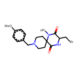 CCCN1C(=O)C(CC(C)C)NC(=O)C12CCN(Cc1ccc(OC)cc1)CC2